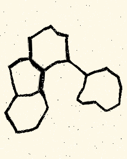 C1CC[C](C2CCCC3CC4CCCCC4C32)CC1